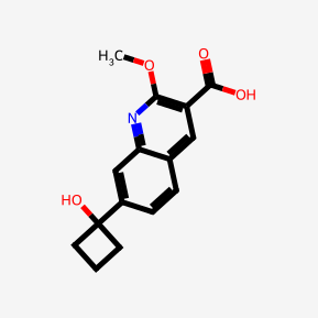 COc1nc2cc(C3(O)CCC3)ccc2cc1C(=O)O